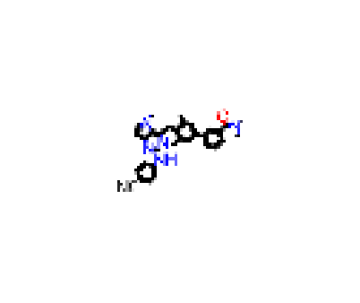 Cc1cc(-c2cccc(C(=O)N(C)C)c2)cc(C)c1Cc1nc(Nc2ccc(C#N)cc2)nc2ccn(C)c12